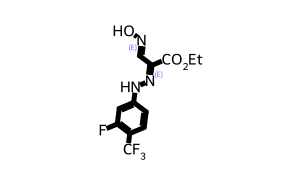 CCOC(=O)C(/C=N/O)=N/Nc1ccc(C(F)(F)F)c(F)c1